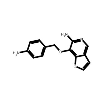 Nc1ccc(COc2c(N)ncc3ccoc23)cc1